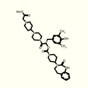 COC(=O)CN1CCC(N2CCN(C(=O)[C@@H](Cc3cc(C)c(O)c(C)c3)OC(=O)N3CCC(N4CCc5ccccc5NC4=O)CC3)CC2)CC1